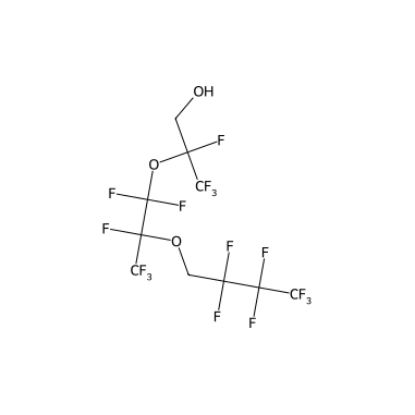 OCC(F)(OC(F)(F)C(F)(OCC(F)(F)C(F)(F)C(F)(F)F)C(F)(F)F)C(F)(F)F